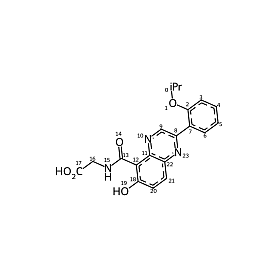 CC(C)Oc1ccccc1-c1cnc2c(C(=O)NCC(=O)O)c(O)ccc2n1